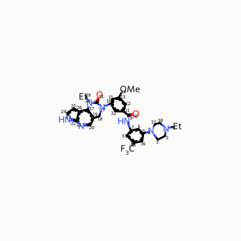 CCN1CCN(c2cc(NC(=O)c3cc(OC)cc(N4Cc5cnc6[nH]ccc6c5N(CC)C4=O)c3)cc(C(F)(F)F)c2)CC1